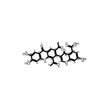 CC(=O)c1cc2c(=O)c3cc(O)c(O)cc3oc2c(C(C)=O)c1-c1coc2cc(O)cc(C(=O)O)c2c1=O